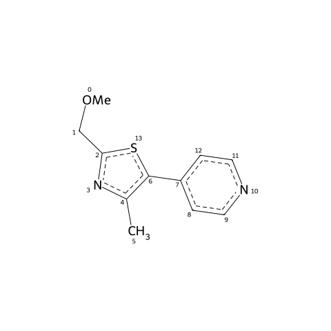 COCc1nc(C)c(-c2ccncc2)s1